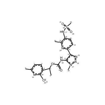 Cc1ccc(C(C)OC(=O)Nc2c(-c3ccc(NS(C)(=O)=O)c(C)n3)nnn2C)c(C(F)(F)F)n1